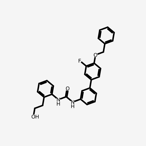 O=C(Nc1cccc(-c2ccc(OCc3ccccc3)c(F)c2)c1)Nc1ccccc1CCO